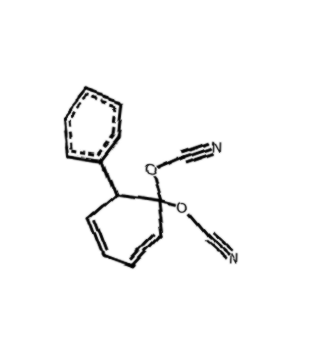 N#COC1(OC#N)C=CC=CC1c1ccccc1